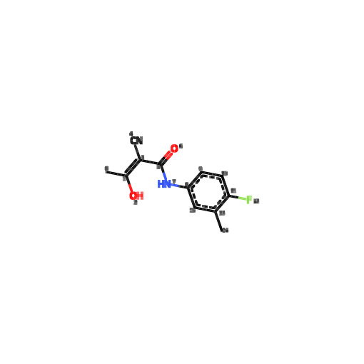 CC(O)=C(C#N)C(=O)Nc1ccc(F)c(C)c1